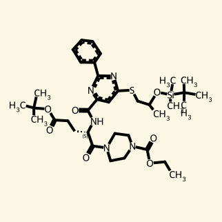 CCOC(=O)N1CCN(C(=O)[C@H](CCC(=O)OC(C)(C)C)NC(=O)c2cc(SCC(C)O[Si](C)(C)C(C)(C)C)nc(-c3ccccc3)n2)CC1